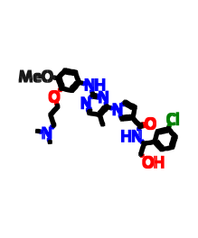 COc1ccc(Nc2ncc(C)c(-n3ccc(C(=O)NC(CO)c4cccc(Cl)c4)c3)n2)cc1OCCCN(C)C